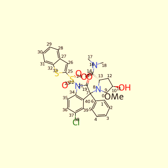 COc1ccccc1C1(N2C[C@H](O)C[C@H]2C(=O)N(C)C)C(=O)N(S(=O)(=O)c2cc3ccccc3s2)c2ccc(Cl)cc21